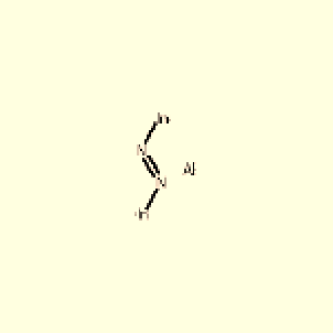 [Al].[In][N]=[N][In]